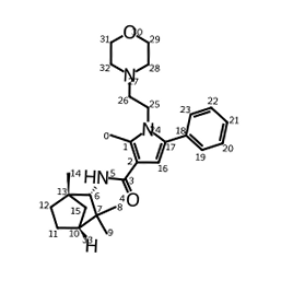 Cc1c(C(=O)N[C@@H]2C(C)(C)[C@@H]3CC[C@@]2(C)C3)cc(-c2ccccc2)n1CCN1CCOCC1